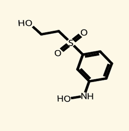 O=S(=O)(CCO)c1cccc(NO)c1